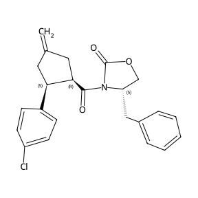 C=C1C[C@H](c2ccc(Cl)cc2)[C@H](C(=O)N2C(=O)OC[C@@H]2Cc2ccccc2)C1